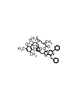 C=C1C=C(C)C(=O)C(C(C)(C)CC(=O)N(C)CCN(C)C(=O)Oc2c(Cc3ccco3)nc3c(Cc4ccccc4)nc(-c4ccccc4)cn23)=C1C